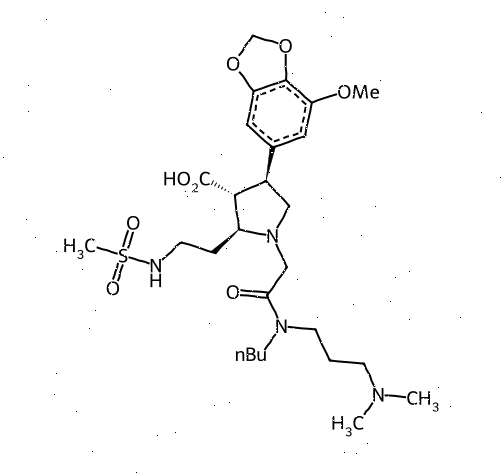 CCCCN(CCCN(C)C)C(=O)CN1C[C@H](c2cc(OC)c3c(c2)OCO3)[C@@H](C(=O)O)[C@@H]1CCNS(C)(=O)=O